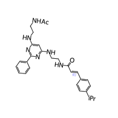 CC(=O)NCCNc1cc(NCCNC(=O)/C=C/c2ccc(C(C)C)cc2)nc(-c2ccccc2)n1